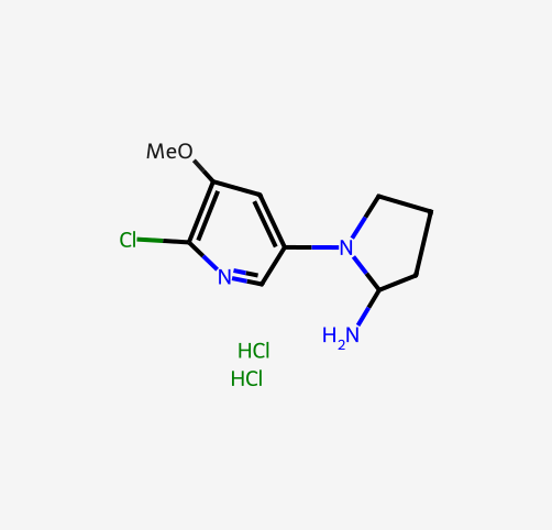 COc1cc(N2CCCC2N)cnc1Cl.Cl.Cl